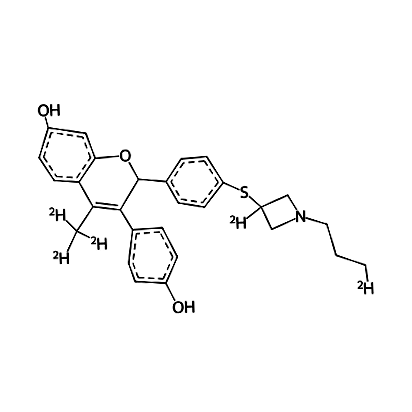 [2H]CCCN1CC([2H])(Sc2ccc(C3Oc4cc(O)ccc4C(C([2H])([2H])[2H])=C3c3ccc(O)cc3)cc2)C1